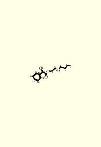 CCCCOCCOC(=O)C(=O)c1ccccc1